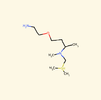 CC(CCOCCN)N(C)C[SH](C)C